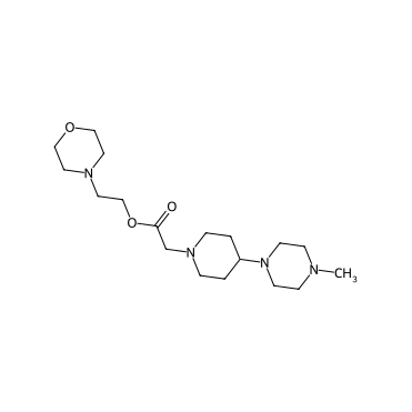 CN1CCN(C2CCN(CC(=O)OCCN3CCOCC3)CC2)CC1